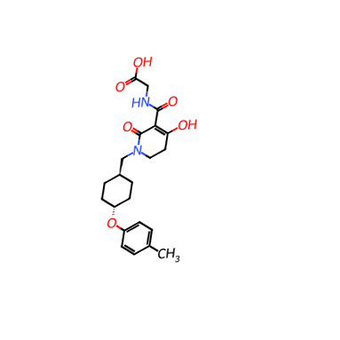 Cc1ccc(O[C@H]2CC[C@H](CN3CCC(O)=C(C(=O)NCC(=O)O)C3=O)CC2)cc1